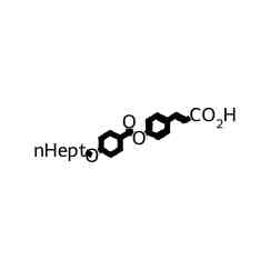 CCCCCCCOC1CCC(C(=O)Oc2ccc(/C=C/C(=O)O)cc2)CC1